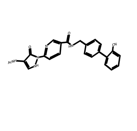 CC(=O)Nc1c[nH]n(-c2ccc(C(=O)NCc3ccc(-c4ccccc4C#N)cc3)cn2)c1=O